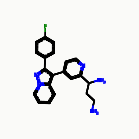 NCCC(N)c1cc(-c2c(-c3ccc(F)cc3)nn3ccccc23)ccn1